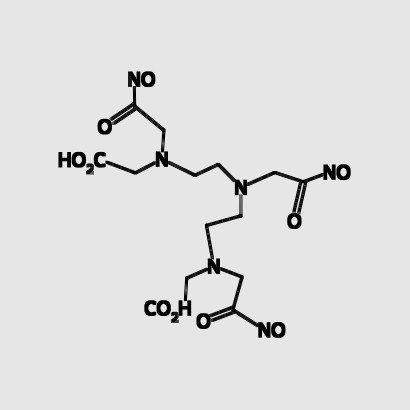 O=NC(=O)CN(CCN(CC(=O)O)CC(=O)N=O)CCN(CC(=O)O)CC(=O)N=O